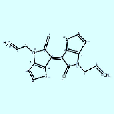 C=CCN1C(=O)C(=C2C(=O)N(CC=C)c3ccsc32)c2sccc21